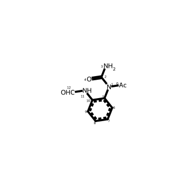 CC(=O)N(C(N)=O)c1ccccc1NC=O